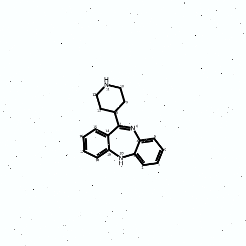 c1ccc2c(c1)N=C(C1CCNCC1)c1ccccc1N2